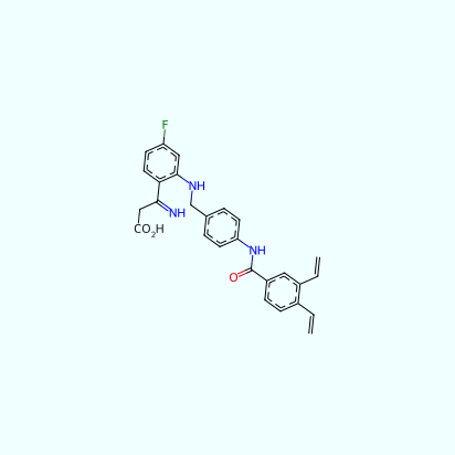 C=Cc1ccc(C(=O)Nc2ccc(CNc3cc(F)ccc3C(=N)CC(=O)O)cc2)cc1C=C